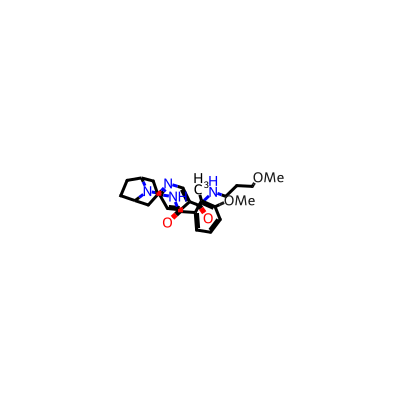 COCCCNC(=O)c1ccc(N2C3CCC2CC(NC(=O)c2cccc(OC)c2C)C3)nc1